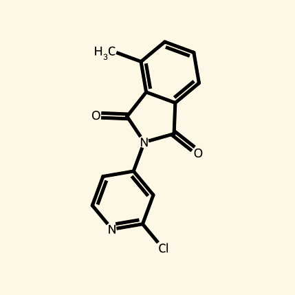 Cc1cccc2c1C(=O)N(c1ccnc(Cl)c1)C2=O